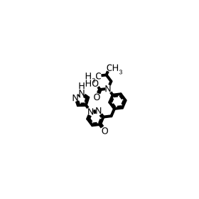 CC(C)CN(C(=O)O)c1cccc(Cc2nn(-c3cn[nH]c3)ccc2=O)c1